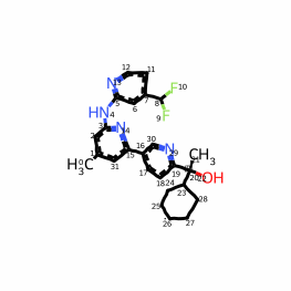 Cc1cc(Nc2cc(C(F)F)ccn2)nc(-c2ccc([C@](C)(O)C3CC[CH]CC3)nc2)c1